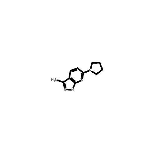 NC1=N[N]c2nc(N3CCCC3)ccc21